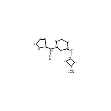 N#CC1CN(SN2CCCC(C(=O)N3CCCC3)C2)C1